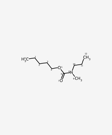 CCCCCOC(=O)N(C)CCC